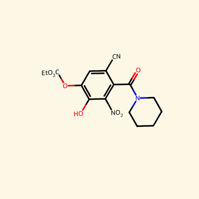 CCOC(=O)Oc1cc(C#N)c(C(=O)N2CCCCC2)c([N+](=O)[O-])c1O